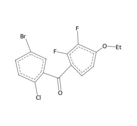 CCOc1ccc(C(=O)c2cc(Br)ccc2Cl)c(F)c1F